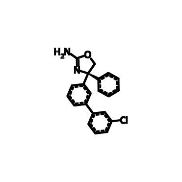 NC1=N[C@@](c2ccccc2)(c2cccc(-c3cccc(Cl)c3)c2)CO1